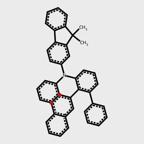 CC1(C)c2ccccc2-c2ccc(N(c3ccccc3)c3cccc(-c4ccccc4)c3-c3ccc4ccccc4c3)cc21